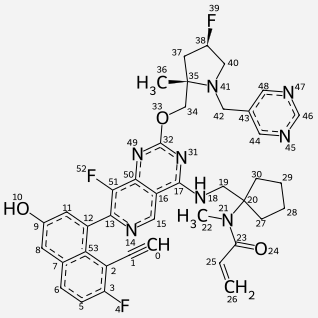 C#Cc1c(F)ccc2cc(O)cc(-c3ncc4c(NCC5(N(C)C(=O)C=C)CCCC5)nc(OC[C@]5(C)C[C@@H](F)CN5Cc5cncnc5)nc4c3F)c12